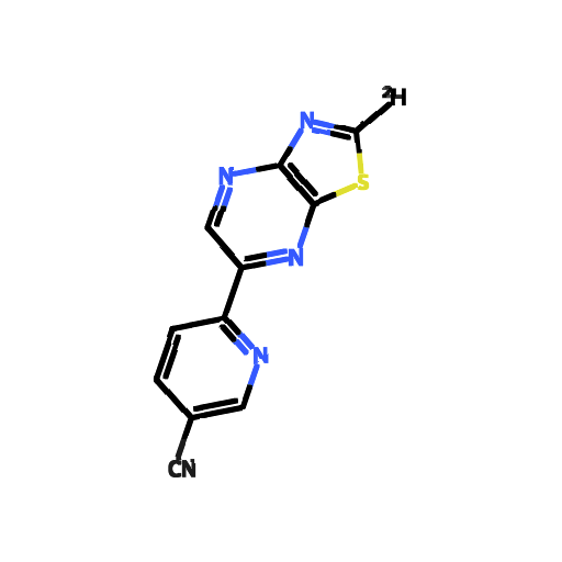 [2H]c1nc2ncc(-c3ccc(C#N)cn3)nc2s1